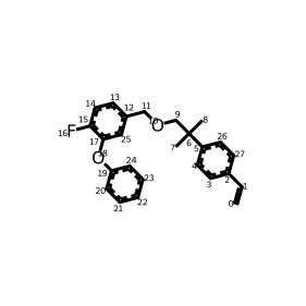 C=Cc1ccc(C(C)(C)COCc2ccc(F)c(Oc3ccccc3)c2)cc1